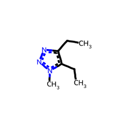 CCc1nnn(C)c1CC